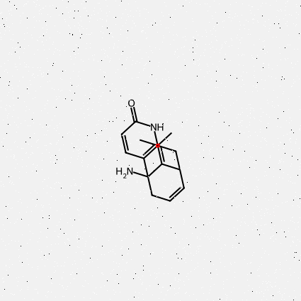 CC(C)=C1C2C=CCC1(N)c1ccc(=O)[nH]c1C2